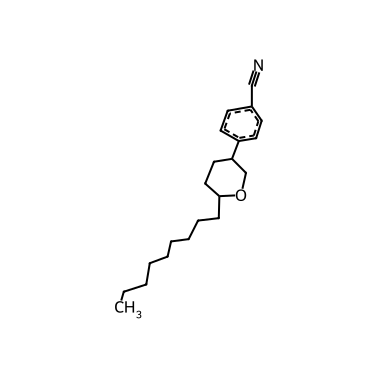 CCCCCCCCCC1CCC(c2ccc(C#N)cc2)CO1